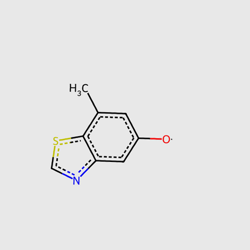 Cc1cc([O])cc2ncsc12